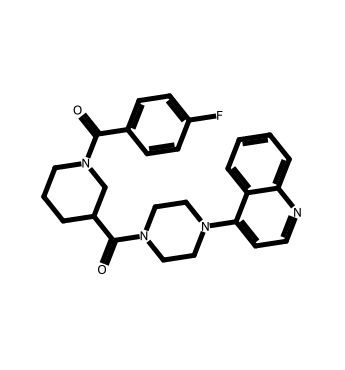 O=C(c1ccc(F)cc1)N1CCCC(C(=O)N2CCN(c3ccnc4ccccc34)CC2)C1